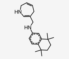 CC1(C)CCC(C)(C)c2cc(NCC3=CNCC=CC3)ccc21